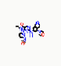 C=CCn1c(=O)c2cnc(Nc3cc4c(c(N5CCOCC5)c3)CCN(C)C4)nc2n1-c1cccc(N=S(C)(C)=O)n1